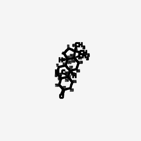 CC1(C)CC[C@H]2C3CCC4CC(=O)CC[C@]4(C)[C@H]3CC[C@@]21C